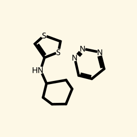 C1=C(NC2CCCCC2)SCS1.c1cnnnc1